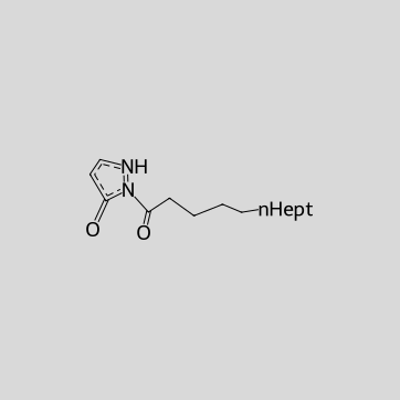 CCCCCCCCCCCC(=O)n1[nH]ccc1=O